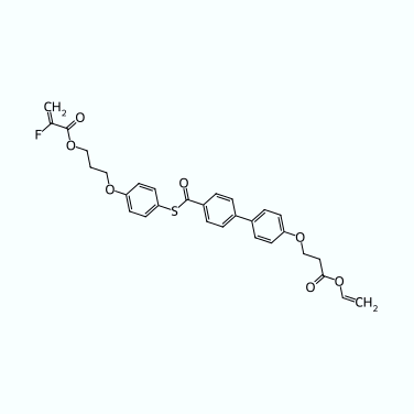 C=COC(=O)CCOc1ccc(-c2ccc(C(=O)Sc3ccc(OCCCOC(=O)C(=C)F)cc3)cc2)cc1